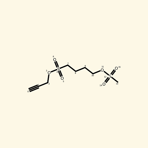 C#CCOS(=O)(=O)CCCCOS(C)(=O)=O